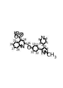 Cn1cc(-c2ccncc2)c(-c2ccc(OCc3cc(C(=O)OC(C)(C)C)c4ccccc4n3)cc2)n1